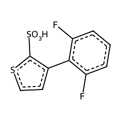 O=S(=O)(O)c1sccc1-c1c(F)cccc1F